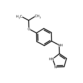 CC(C)Oc1ccc(Nc2ccn[nH]2)cc1